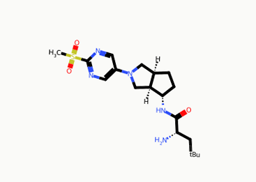 CC(C)(C)C[C@H](N)C(=O)N[C@H]1CC[C@@H]2CN(c3cnc(S(C)(=O)=O)nc3)C[C@@H]21